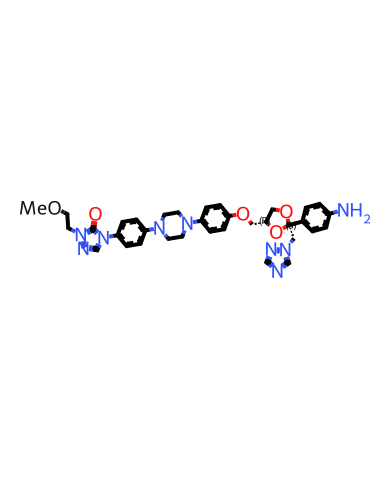 COCCn1ncn(-c2ccc(N3CCN(c4ccc(OC[C@@H]5CO[C@@](Cn6cncn6)(c6ccc(N)cc6)O5)cc4)CC3)cc2)c1=O